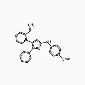 C=Cc1ccccc1-c1cc(Nc2ccc(OC)cc2)nn1-c1ccccc1